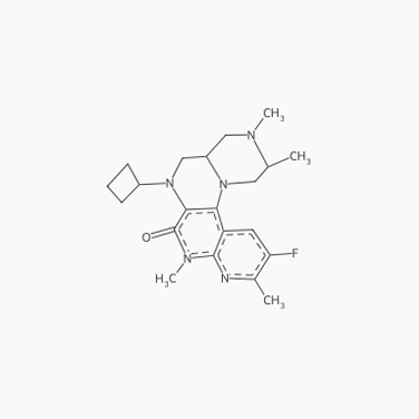 Cc1nc2c(cc1F)c1c(c(=O)n2C)N(C2CCC2)CC2CN(C)C(C)CN12